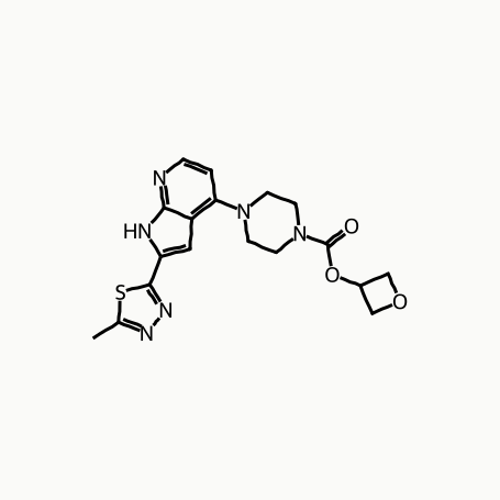 Cc1nnc(-c2cc3c(N4CCN(C(=O)OC5COC5)CC4)ccnc3[nH]2)s1